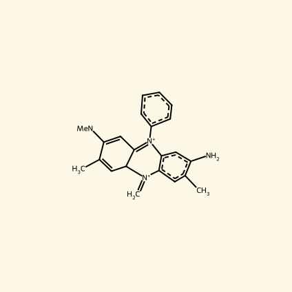 C=[N+]1c2cc(C)c(N)cc2[N+](c2ccccc2)=C2C=C(NC)C(C)=CC21